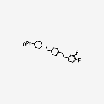 CCC[C@H]1CC[C@H](CCC2CC=C(CCc3ccc(F)c(F)c3)CC2)CC1